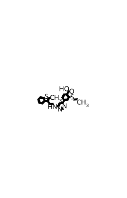 CCCSc1cc(-c2cc(NCCc3c(C)sc4ccccc34)ncn2)ccc1C(=O)O